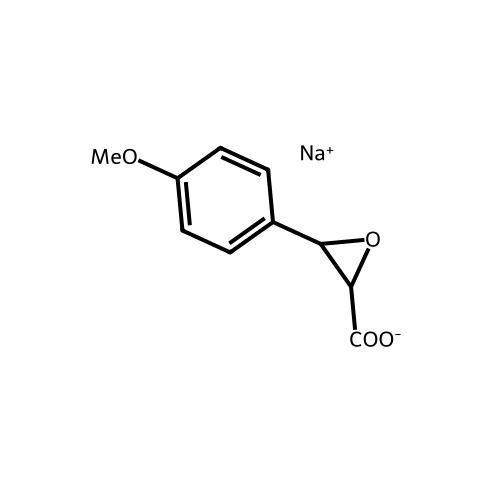 COc1ccc(C2OC2C(=O)[O-])cc1.[Na+]